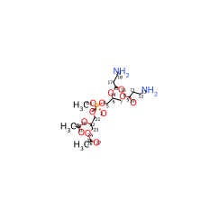 COP(=O)(OCC(COC(=O)CCN)OC(=O)CCN)OC[C@@H](COC(C)=O)OC(C)=O